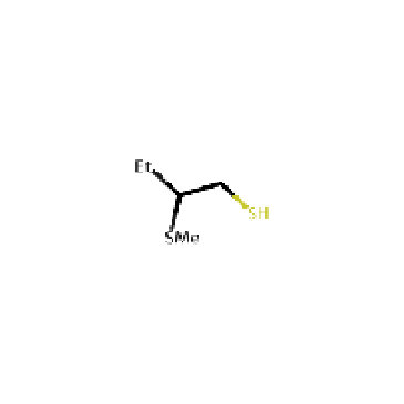 CCC(CS)SC